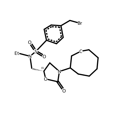 CCN(C[C@@H]1CN(C2CCCCCCC2)C(=O)O1)S(=O)(=O)c1ccc(CBr)cc1